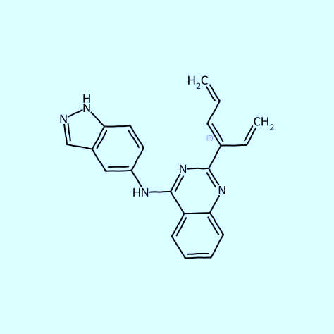 C=C/C=C(\C=C)c1nc(Nc2ccc3[nH]ncc3c2)c2ccccc2n1